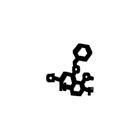 COc1c(F)ccc2nc(Cl)cc(OCc3ccccc3)c12